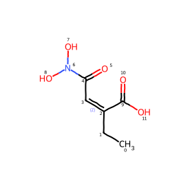 CC/C(=C/C(=O)N(O)O)C(=O)O